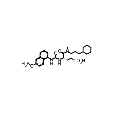 CN(CCCC1CCCCC1)C(=O)[C@H](CCC(=O)O)NC(=O)Nc1cccc2cc(OP)ccc12